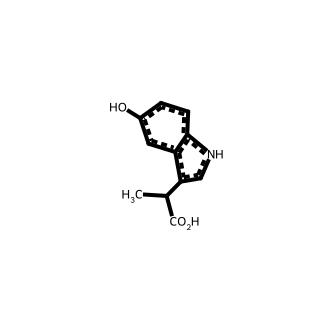 CC(C(=O)O)c1c[nH]c2ccc(O)cc12